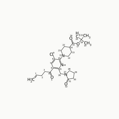 C=CCCC(=O)c1cc(Cl)c(N2CCC(C(=O)OC(C)(C)C)CC2)nc1CN1CCCC1=O